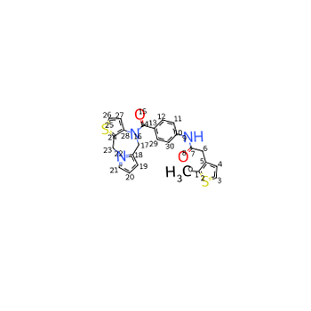 Cc1sccc1CC(=O)Nc1ccc(C(=O)N2Cc3cccn3Cc3sccc32)cc1